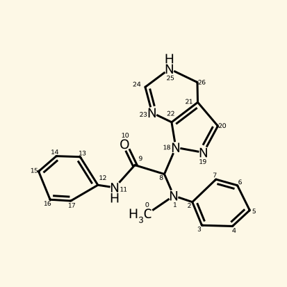 CN(c1ccccc1)C(C(=O)Nc1ccccc1)n1ncc2c1N=CNC2